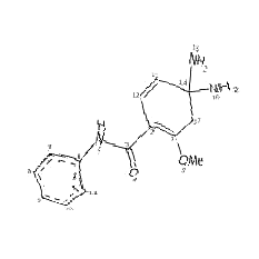 COC1=C(C(=O)Nc2ccccc2)C=CC(N)(N)C1